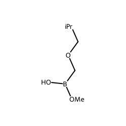 COB(O)COCC(C)C